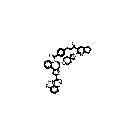 O=C(Nc1c(F)cccc1F)c1cc2c(s1)CCN(C(=O)c1ccc(CCC(=O)c3cc4c(nc3N3CC5(CCOCC5)C3)CCC4)cc1)c1ccccc1-2